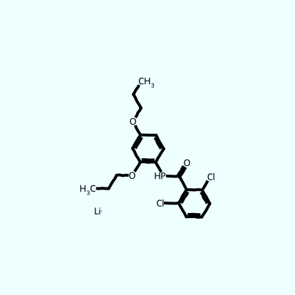 CCCOc1ccc(PC(=O)c2c(Cl)cccc2Cl)c(OCCC)c1.[Li]